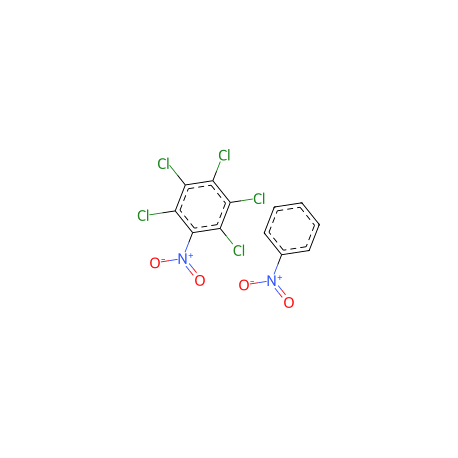 O=[N+]([O-])c1c(Cl)c(Cl)c(Cl)c(Cl)c1Cl.O=[N+]([O-])c1ccccc1